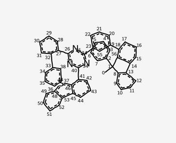 CC1(c2ccccc2)c2ccccc2-c2cccc(-c3cccc(-c4nc(-c5ccccc5-c5ccccc5)nc(-c5cccc6c5sc5ccccc56)n4)c3)c21